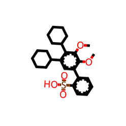 COc1c(-c2ccccc2S(=O)(=O)O)cc(C2CCCCC2)c(C2CCCCC2)c1OC